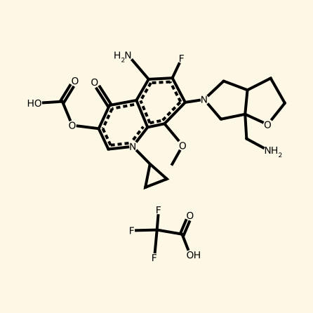 COc1c(N2CC3CCOC3(CN)C2)c(F)c(N)c2c(=O)c(OC(=O)O)cn(C3CC3)c12.O=C(O)C(F)(F)F